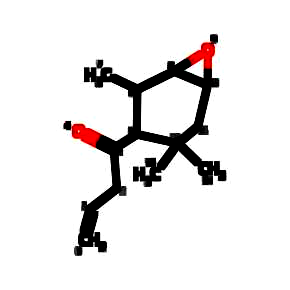 C=CCC(=O)C1C(C)C2OC2CC1(C)C